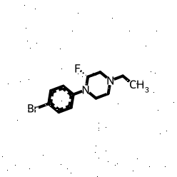 CCN1CCN(c2ccc(Br)cc2)[C@H](F)C1